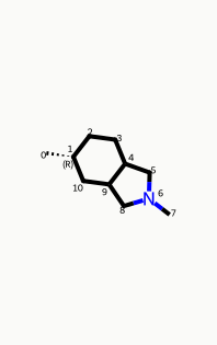 C[C@@H]1CCC2CN(C)CC2C1